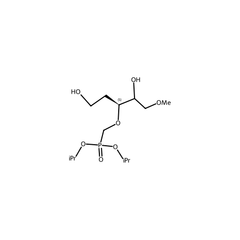 COCC(O)[C@H](CCO)OCP(=O)(OC(C)C)OC(C)C